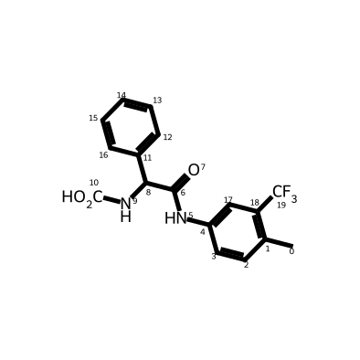 Cc1ccc(NC(=O)C(NC(=O)O)c2ccccc2)cc1C(F)(F)F